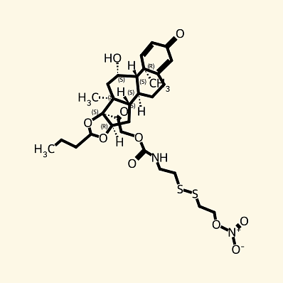 CCCC1O[C@@H]2C[C@H]3[C@@H]4CCC5=CC(=O)C=C[C@]5(C)[C@H]4[C@@H](O)C[C@]3(C)[C@]2(C(=O)COC(=O)NCCSSCCO[N+](=O)[O-])O1